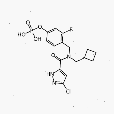 O=C(c1cc(Cl)n[nH]1)N(Cc1ccc(OP(=O)(O)O)cc1F)CC1CCC1